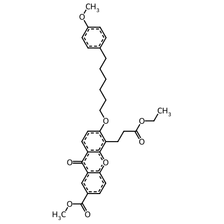 CCOC(=O)CCc1c(OCCCCCCc2ccc(OC)cc2)ccc2c(=O)c3cc(C(=O)OC)ccc3oc12